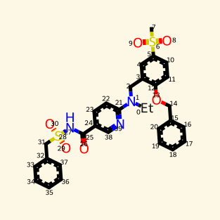 CCN(Cc1cc(S(C)(=O)=O)ccc1OCc1ccccc1)c1ccc(C(=O)NS(=O)(=O)Cc2ccccc2)cn1